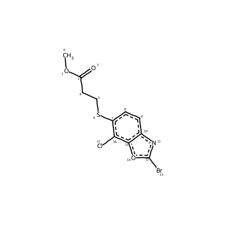 COC(=O)CCSc1ccc2nc(Br)oc2c1Cl